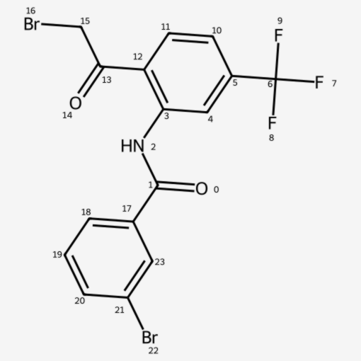 O=C(Nc1cc(C(F)(F)F)ccc1C(=O)CBr)c1cccc(Br)c1